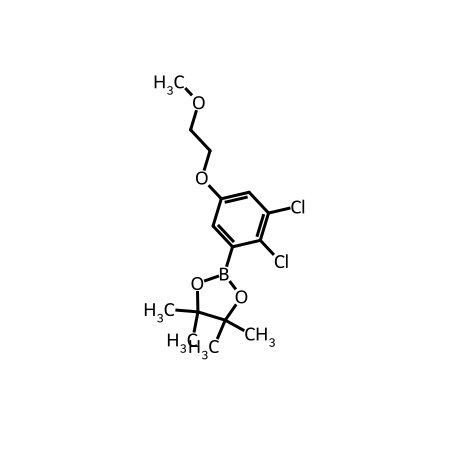 COCCOc1cc(Cl)c(Cl)c(B2OC(C)(C)C(C)(C)O2)c1